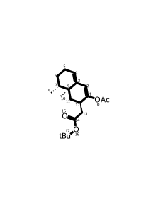 CC(=O)OC1=CC2=CCC[C@@H](C)[C@]2(C)C[C@@H]1CC(=O)OC(C)(C)C